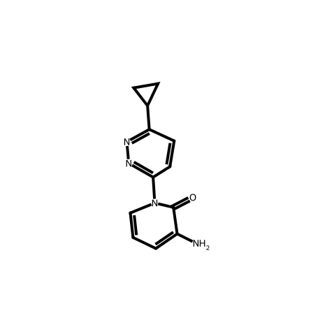 Nc1cccn(-c2ccc(C3CC3)nn2)c1=O